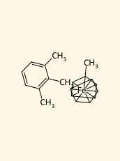 C[C]12[CH]3[CH]4[CH]5[CH]1[Fe]45321678[CH]2[CH]1[CH]6[CH]7[CH]28.Cc1cccc(C)c1C